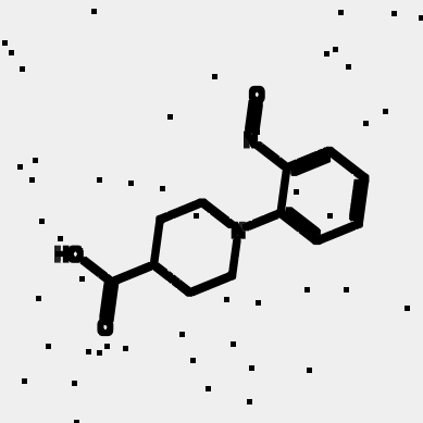 O=Nc1ccccc1N1CCC(C(=O)O)CC1